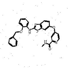 CNC(=O)c1cc(Oc2ccc3nc(Nc4ccccc4OCc4ccccc4)sc3c2)ccn1